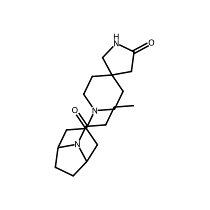 CCCC(=O)N1C2CCC1CC(N1CCC3(CC1)CNC(=O)C3)C2